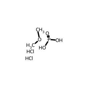 COC.Cl.Cl.O=[P](O)O